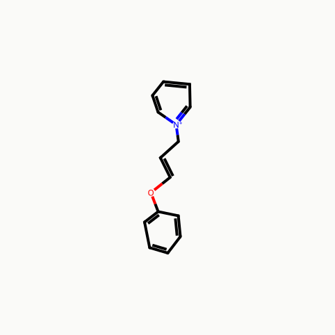 C(=COc1ccccc1)C[n+]1ccccc1